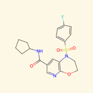 O=C(NC1CCCC1)c1cnc2c(c1)N(S(=O)(=O)c1ccc(F)cc1)CCO2